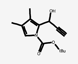 C#CC(O)c1c(C)c(C)cn1C(=O)OC(C)(C)C